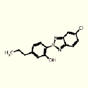 CCCc1ccc(-n2nc3ccc(Cl)cc3n2)c(O)c1